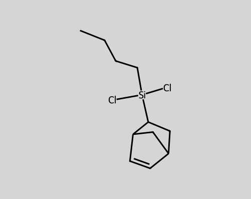 CCCC[Si](Cl)(Cl)C1CC2C=CC1C2